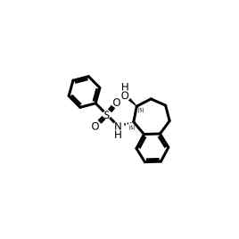 O=S(=O)(N[C@H]1c2ccccc2CCC[C@@H]1O)c1ccccc1